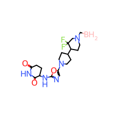 BCN1CCC(C2CCN(c3cnc(NC4CCC(=O)NC4=O)o3)CC2)C(F)(F)C1